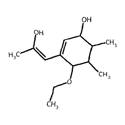 CCOC1C(/C=C(/C)O)=CC(O)C(C)C1C